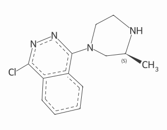 C[C@H]1CN(c2nnc(Cl)c3ccccc23)CCN1